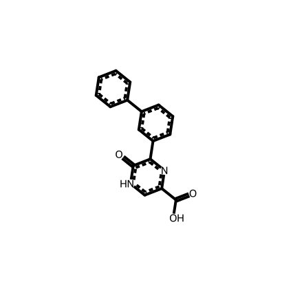 O=C(O)c1c[nH]c(=O)c(-c2cccc(-c3ccccc3)c2)n1